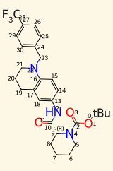 CC(C)(C)OC(=O)N1CCCC[C@@H]1C(=O)Nc1ccc2c(c1)CCCN2Cc1ccc(C(F)(F)F)cc1